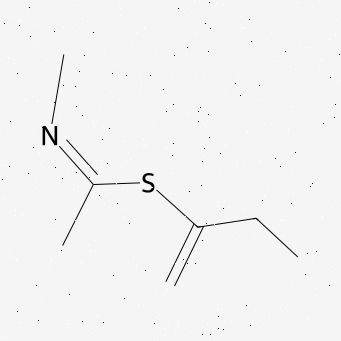 C=C(CC)S/C(C)=N\C